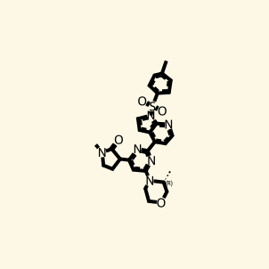 Cc1ccc(S(=O)(=O)n2ccc3c(-c4nc(C5CCN(C)C5=O)cc(N5CCOC[C@H]5C)n4)ccnc32)cc1